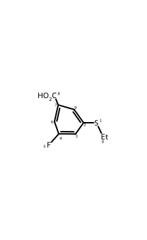 CCSc1cc(F)cc(C(=O)O)c1